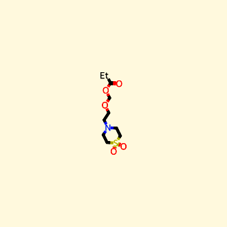 CCC(=O)OCOCCN1CCS(=O)(=O)CC1